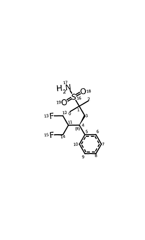 CC(C)(C[C@@H](c1ccccc1)C(CF)CF)S(N)(=O)=O